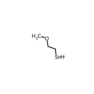 COC[CH2][SnH]